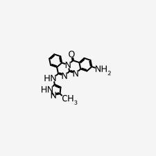 Cc1cc(Nc2nc3nc4cc(N)ccc4c(=O)n3c3ccccc23)[nH]n1